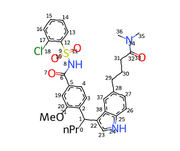 CCCC(c1ccc(C(=O)NS(=O)(=O)c2ccccc2Cl)cc1OC)c1c[nH]c2ccc(CCCC(=O)N(C)C)cc12